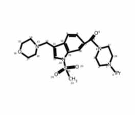 CC(C)N1CCN(C(=O)c2ccc3c(CN4CCOCC4)cn(S(C)(=O)=O)c3c2)CC1